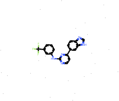 FC(F)(F)c1cccc(Nc2nccc(-c3ccc4nc[nH]c4c3)n2)c1